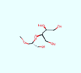 CO[C@@H](CO)OC(CO)[C@@H](O)CO